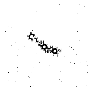 Fc1cc2[nH]c(-c3ccc(CNCCN4CCCCC4)cc3)nc2cc1Cl